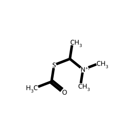 CC(=O)SC(C)[N+](C)C